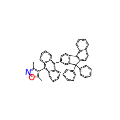 Cc1noc(C)c1-c1c2ccccc2c(-c2ccc3c(c2)C(c2ccccc2)(c2ccccc2)c2ccc4ccccc4c2-3)c2ccccc12